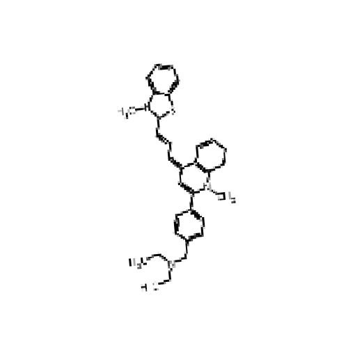 CCN(CC)Cc1ccc(C2=C/C(=C/C=C/C3Sc4ccccc4N3C)C3=C(CCC=C3)N2C)cc1